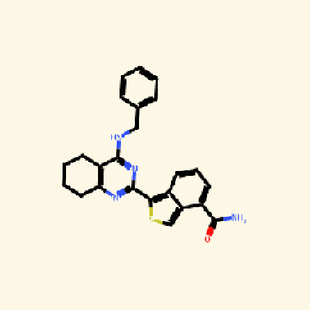 NC(=O)c1cccc2c(-c3nc4c(c(NCc5ccccc5)n3)CCCC4)scc12